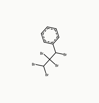 BrC(Br)C(Br)(Br)C(Br)c1ccccc1